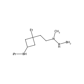 BBN(C)CCC1(CC)CC(BC(C)C)C1